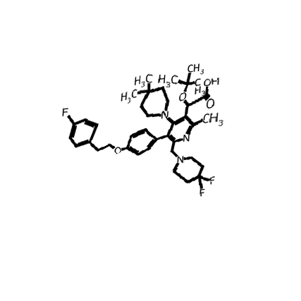 Cc1nc(CN2CCC(F)(F)CC2)c(-c2ccc(OCCc3ccc(F)cc3)cc2)c(N2CCC(C)(C)CC2)c1C(OC(C)(C)C)C(=O)O